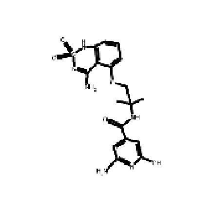 CC(C)(COc1cccc2c1C(N)=NS(=O)(=O)N2)NC(=O)c1cc(N)nc(O)c1